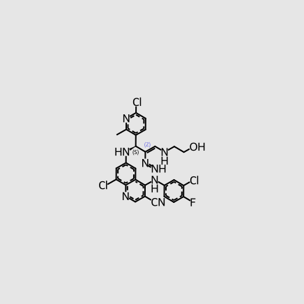 Cc1nc(Cl)ccc1[C@H](Nc1cc(Cl)c2ncc(C#N)c(Nc3ccc(F)c(Cl)c3)c2c1)/C(=C/NCCO)N=N